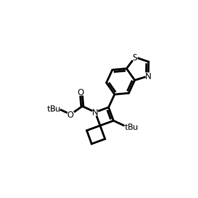 CC(C)(C)OC(=O)N1C(c2ccc3scnc3c2)=C(C(C)(C)C)C12CCC2